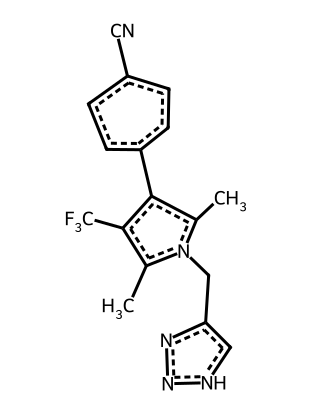 Cc1c(-c2ccc(C#N)cc2)c(C(F)(F)F)c(C)n1Cc1c[nH]nn1